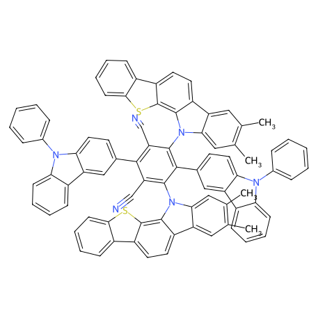 Cc1cc2c3ccc4c5ccccc5sc4c3n(-c3c(C#N)c(-c4ccc5c(c4)c4ccccc4n5-c4ccccc4)c(C#N)c(-n4c5cc(C)c(C)cc5c5ccc6c7ccccc7sc6c54)c3-c3ccc4c(c3)c3ccccc3n4-c3ccccc3)c2cc1C